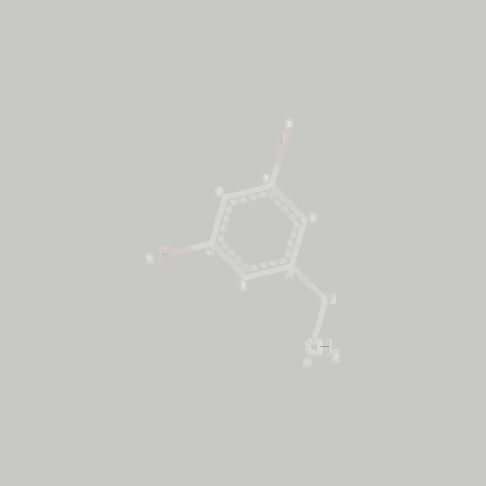 C[CH]c1cc(F)cc(F)c1